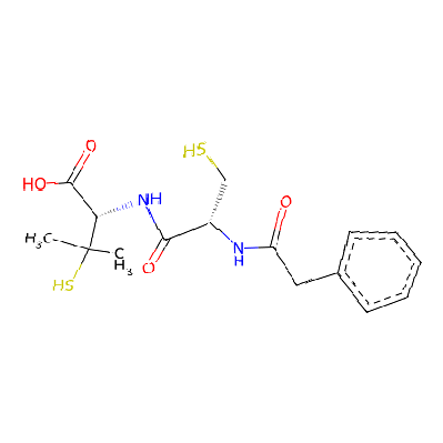 CC(C)(S)[C@@H](NC(=O)[C@H](CS)NC(=O)Cc1ccccc1)C(=O)O